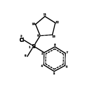 C[Si](Cl)(c1ccccc1)C1CCCC1